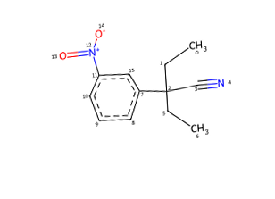 CCC(C#N)(CC)c1cccc([N+](=O)[O-])c1